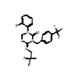 O=C1N(Cc2ccc(C(F)(F)F)cc2)/C(=N\CC(F)(F)F)SCN1c1ccccc1F